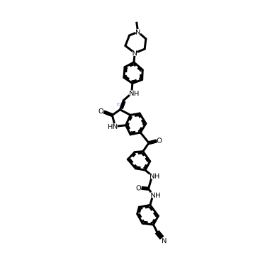 CN1CCN(c2ccc(N/C=C3/C(=O)Nc4cc(C(=O)c5cccc(NC(=O)Nc6cccc(C#N)c6)c5)ccc43)cc2)CC1